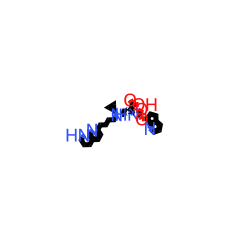 O=C(N[C@@H](CCN(CCCCc1ccc2c(n1)NCCC2)C1CC1)C(=O)O)OC1CCc2cccnc21